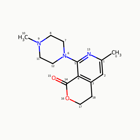 Cc1cc2c(c(N3CCN(C)CC3)n1)C(=O)OCC2